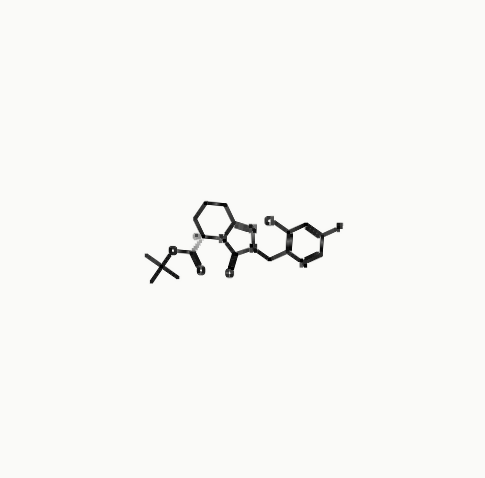 CC(C)(C)OC(=O)[C@@H]1CCCc2nn(Cc3ncc(F)cc3Cl)c(=O)n21